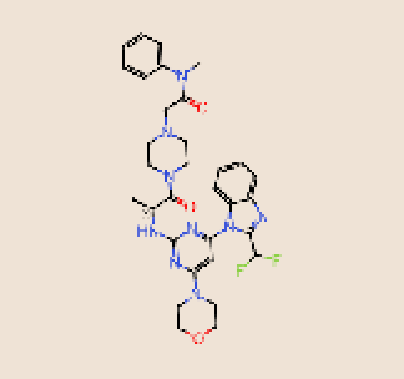 C[C@H](Nc1nc(N2CCOCC2)cc(-n2c(C(F)F)nc3ccccc32)n1)C(=O)N1CCN(CC(=O)N(C)c2ccccc2)CC1